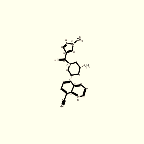 C[C@@H]1C[C@H](c2ccc(C#N)c3ncccc23)CN(C(=O)c2cnn(C)c2)C1